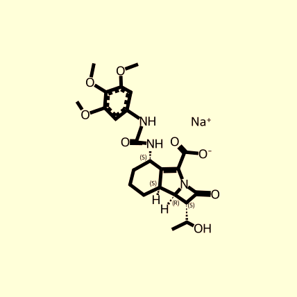 COc1cc(NC(=O)N[C@H]2CCC[C@H]3C2=C(C(=O)[O-])N2C(=O)[C@H](C(C)O)[C@@H]32)cc(OC)c1OC.[Na+]